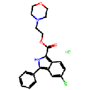 Cl.O=C(OCCN1CCOCC1)c1[nH]c(-c2ccccc2)c2cc(Cl)ccc12